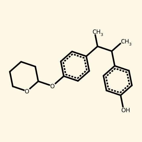 CC(c1ccc(O)cc1)C(C)c1ccc(OC2CCCCO2)cc1